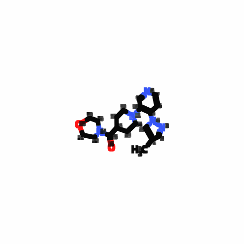 Cc1cnn(-c2ccncc2N2CCC(C(=O)N3CCOCC3)CC2)c1